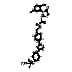 Cc1ccc(C(C)C)c(N2C(=O)CS/C2=N\C(=S)NOCc2ccc(-c3ncn(-c4ccc(OC(F)(F)C(F)(F)F)cc4)n3)cc2)c1